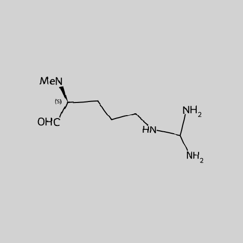 CN[C@H](C=O)CCCNC(N)N